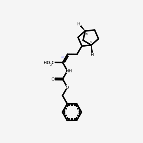 O=C(N/C(=C\CC1C[C@@H]2CC[C@H]1C2)C(=O)O)OCc1ccccc1